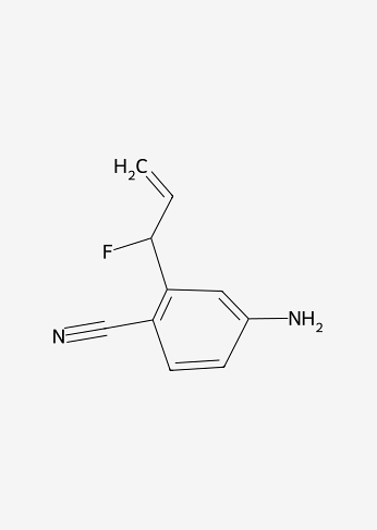 C=CC(F)c1cc(N)ccc1C#N